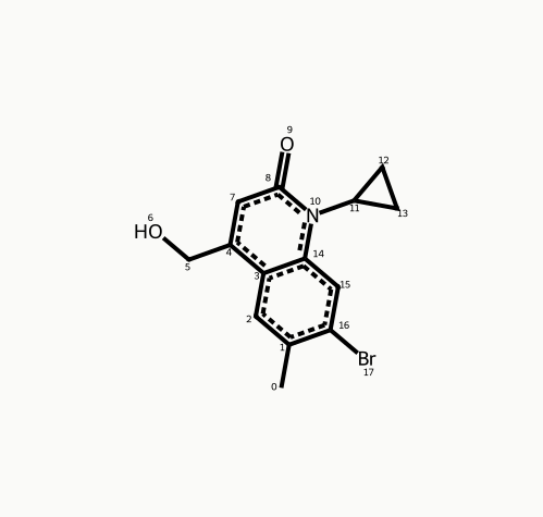 Cc1cc2c(CO)cc(=O)n(C3CC3)c2cc1Br